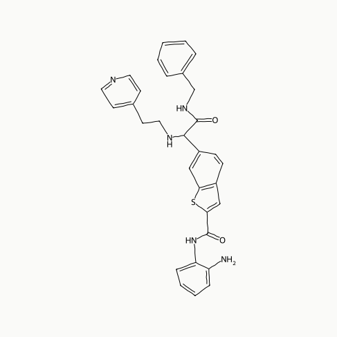 Nc1ccccc1NC(=O)c1cc2ccc(C(NCCc3ccncc3)C(=O)NCc3ccccc3)cc2s1